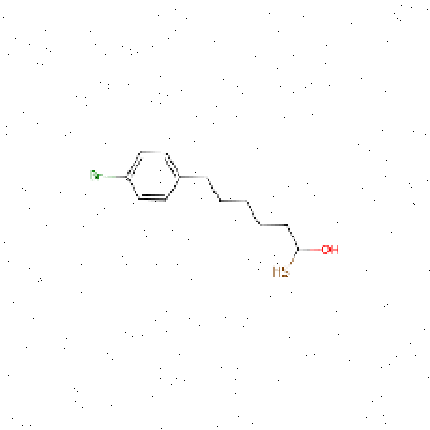 OC(S)CCCCCc1ccc(Br)cc1